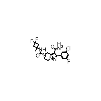 CC1(NC(=O)N2CCn3nc(-c4cc(F)cc(Cl)c4)c(C(N)=O)c3C2)CC(F)(F)C1